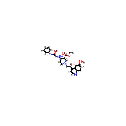 CCOC(=O)[C@H]1CN(C[C@H](O)c2ccnc3ccc(OC)cc23)CC[C@H]1NCC(=O)Nc1ccccc1